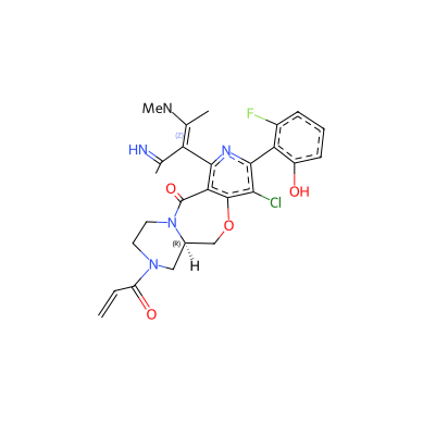 C=CC(=O)N1CCN2C(=O)c3c(/C(C(C)=N)=C(\C)NC)nc(-c4c(O)cccc4F)c(Cl)c3OC[C@H]2C1